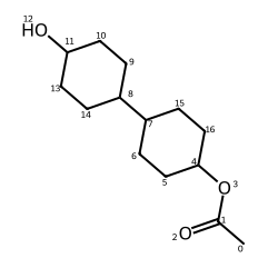 CC(=O)OC1CCC(C2CCC(O)CC2)CC1